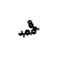 C=CC(=O)Nc1cccc(Oc2cnc3[nH]cc(-c4ccc5c(c4)OCO5)c3n2)c1